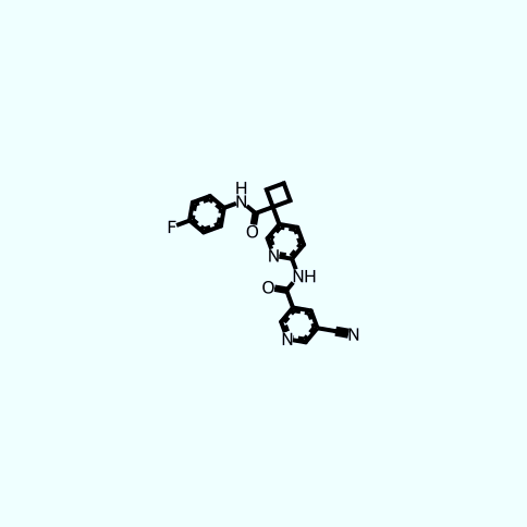 N#Cc1cncc(C(=O)Nc2ccc(C3(C(=O)Nc4ccc(F)cc4)CCC3)cn2)c1